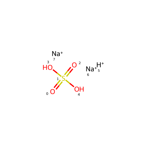 O=S(=O)(O)O.[H+].[Na+].[Na+]